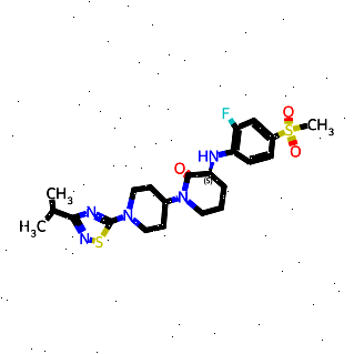 CC(C)c1nsc(N2CCC(N3CCC[C@H](Nc4ccc(S(C)(=O)=O)cc4F)C3=O)CC2)n1